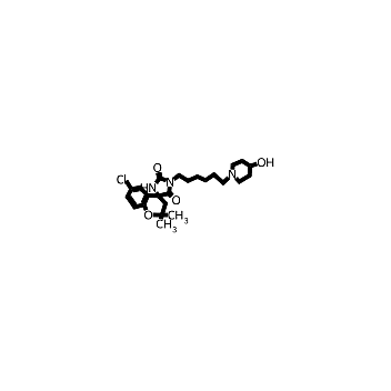 CC1(C)CC2(NC(=O)N(CCCCCCN3CCC(O)CC3)C2=O)c2cc(Cl)ccc2O1